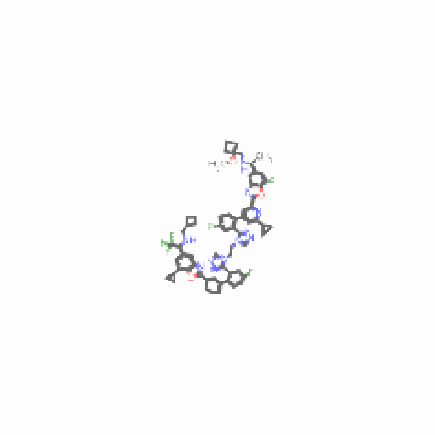 COC1(CN[C@@H](C)c2cc(F)c3oc(-c4cc(-c5ccc(F)cc5-c5nncn5CCn5cnnc5-c5cc(F)ccc5-c5cccc(-c6nc7cc(C(NCC8CCC8)C(F)(F)F)cc(C8CC8)c7o6)c5)cc(C5CC5)n4)nc3c2)CCC1